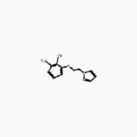 N#Cc1c(OCCn2cccn2)cccc1[N+](=O)[O-]